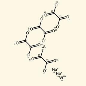 O=C([O-])C(=O)[O-].O=C([O-])C(=O)[O-].O=C([O-])C(=O)[O-].O=C([O-])C(=O)[O-].[Na+].[Na+].[W+6]